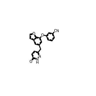 N#Cc1cccc(Oc2cc(Cc3ccc(=O)[nH]n3)cc3ccoc23)c1